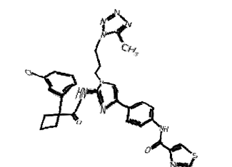 Cc1nnnn1CCCn1cc(-c2ccc(NC(=O)c3cscn3)cc2)nc1NC(=O)C1(c2cccc(Cl)c2)CCC1